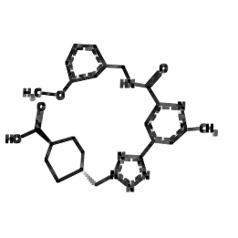 COc1cccc(CNC(=O)c2cc(-c3nnn(C[C@H]4CC[C@H](C(=O)O)CC4)n3)cc(C)n2)c1